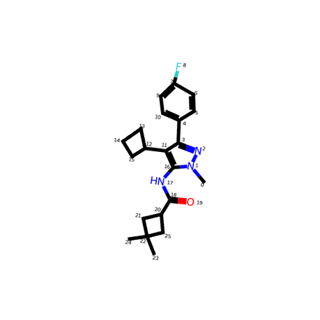 Cn1nc(-c2ccc(F)cc2)c(C2CCC2)c1NC(=O)C1CC(C)(C)C1